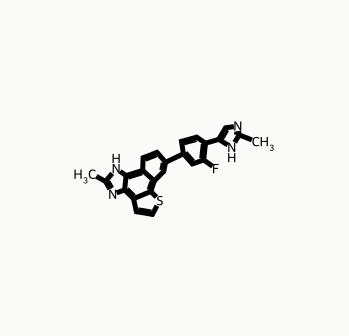 Cc1ncc(-c2ccc(-c3ccc4c(c3)c3sccc3c3nc(C)[nH]c43)cc2F)[nH]1